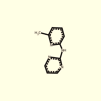 Cc1cccc(Nc2ncccn2)n1